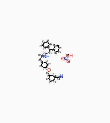 CC(Cc1ccc(OCc2cccc(C#N)c2)cc1)NCCC(c1ccccc1)c1ccccc1.O=[N+]([O-])O